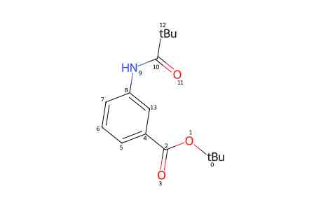 CC(C)(C)OC(=O)c1cccc(NC(=O)C(C)(C)C)c1